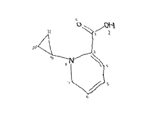 O=C(O)C1=CC=CCN1C1CC1